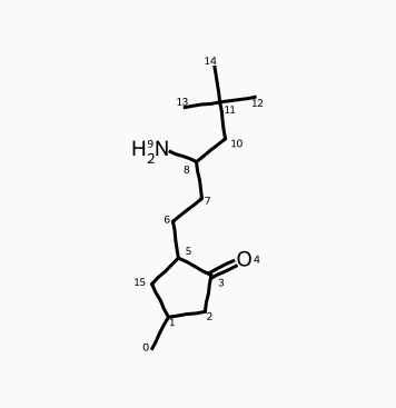 CC1CC(=O)C(CCC(N)CC(C)(C)C)C1